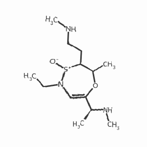 CCN1C=C([C@H](C)NC)OC(C)C(CCNC)[S+]1[O-]